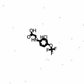 Cl.O=C(O)CNc1ccc(OC(F)(F)F)cc1